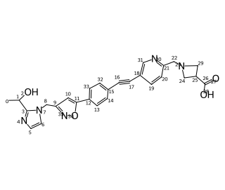 CC(O)c1nccn1Cc1cc(-c2ccc(C#Cc3ccc(CN4CC(C(=O)O)C4)nc3)cc2)on1